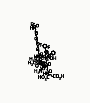 CCC(=O)NCCOCCOCCOCCOCCC(=O)N[C@@H](C)C(=O)N(C)[C@@H](C)C(=O)N[C@@H](CC(N)=O)C(=O)N[C@@H](CCN(C(=O)CO)[C@@H](c1cc(-c2cc(F)ccc2F)cn1Cc1ccccc1)C(C)(C)C)C(=O)NCCC(=O)N[C@H](CCC(=O)O)C(=O)O